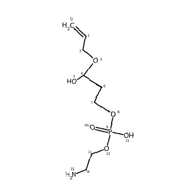 C=CCOC(O)CCOP(=O)(O)OCCN